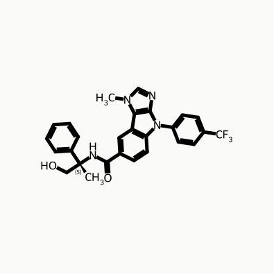 Cn1cnc2c1c1cc(C(=O)N[C@](C)(CO)c3ccccc3)ccc1n2-c1ccc(C(F)(F)F)cc1